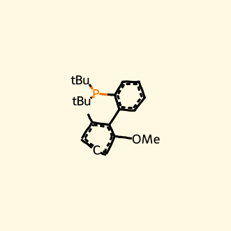 COc1cccc(C)c1-c1ccccc1P(C(C)(C)C)C(C)(C)C